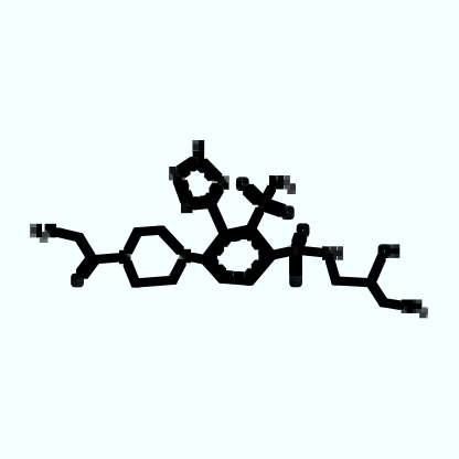 NCC(=O)N1CCN(c2ccc(S(=O)(=O)NCC(O)CN)c(S(N)(=O)=O)c2-c2nn[nH]n2)CC1